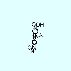 CC(C)CN1C2=C(CCN(C(=O)O)CC2)CN1c1ccc(N2CCN(C)C2=O)cc1